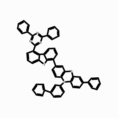 c1ccc(-c2cccc(N3c4ccc(-c5ccccc5)cc4Sc4cc(-c5cccc6c5sc5cccc(-c7nc(-c8ccccc8)nc(-c8ccccc8)n7)c56)ccc43)c2)cc1